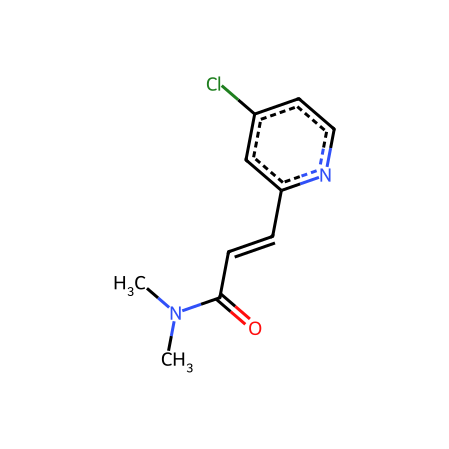 CN(C)C(=O)C=Cc1cc(Cl)ccn1